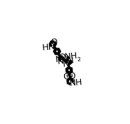 Nc1ncc(-c2ccc(S(=O)(=O)C3CCCNC3)cc2)nc1-c1nnc(-c2ccc(C3COCCN3)cc2)o1